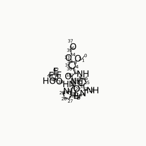 CCOc1cc(C(Nc2ccc(C(=N)N)cc2)C(=O)NNC(=O)c2ncccc2Br)ccc1OCCOC.O=C(O)C(F)(F)F